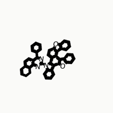 C1=Cc2ccc3c(-c4ccccc4)nc(-n4c5ccccc5c5c6oc7ccccc7c6c6c(ccc7oc8ccccc8c76)c54)nc3c2CC1